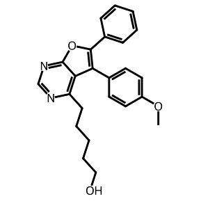 COc1ccc(-c2c(-c3ccccc3)oc3ncnc(CCCCCO)c23)cc1